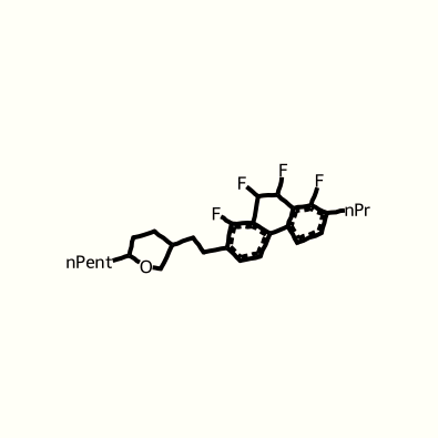 CCCCCC1CCC(CCc2ccc3c(c2F)C(F)C(F)c2c-3ccc(CCC)c2F)CO1